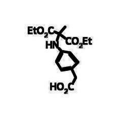 CCOC(=O)C(C)(Nc1ccc(CC(=O)O)cc1)C(=O)OCC